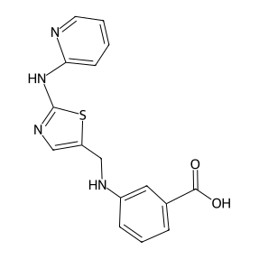 O=C(O)c1cccc(NCc2cnc(Nc3ccccn3)s2)c1